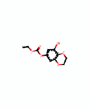 CCOC(=O)Oc1cc(O)c2c(c1)OCCO2